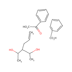 C=CCC(C(C)O)C(C)O.O=C(O)C(=O)c1ccccc1.O=C(O)c1ccccc1